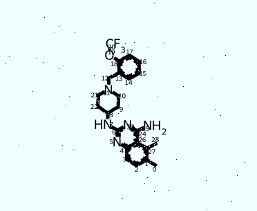 Cc1ccc2nc(NC3CCN(Cc4ccccc4OC(F)(F)F)CC3)nc(N)c2c1C